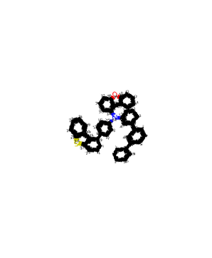 c1ccc(-c2cccc(-c3cccc(N(c4ccc(-c5cccc6sc7ccccc7c56)cc4)c4cccc5oc6ccccc6c45)c3)c2)cc1